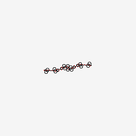 C=CC(=O)OCCCCCC(=O)Oc1ccc(-c2ccc(C(=O)O[C@@H]3COC4C3OC[C@H]4OC(=O)c3ccc(-c4ccc(OC(=O)CCCCCOC(=O)C=C)cc4)cc3)cc2)cc1